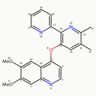 COc1cc2nccc(Oc3cc(C)c(C)nc3-c3ccccn3)c2cc1OC